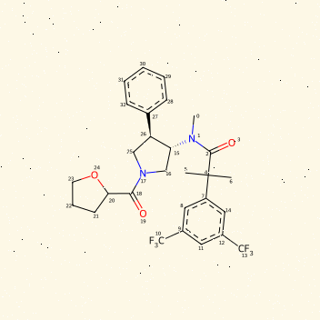 CN(C(=O)C(C)(C)c1cc(C(F)(F)F)cc(C(F)(F)F)c1)[C@@H]1CN(C(=O)C2CCCO2)C[C@H]1c1ccccc1